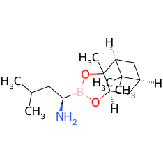 CC(C)C[C@H](N)B1O[C@@H]2C[C@@H]3C[C@@H](C3(C)C)C2(C)O1